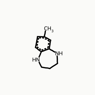 Cc1ccc2c(c1)NCCCN2